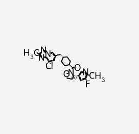 Cc1nc2c(Cl)cc(C[C@H]3CC[C@H](C(=O)N4OCC[C@H]4c4cnc(C)c(F)c4)CC3)cn2n1